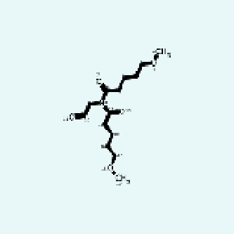 COCCCCC(=O)N(CC=O)C(=O)CCCCOC